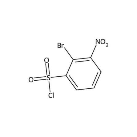 O=[N+]([O-])c1cccc(S(=O)(=O)Cl)c1Br